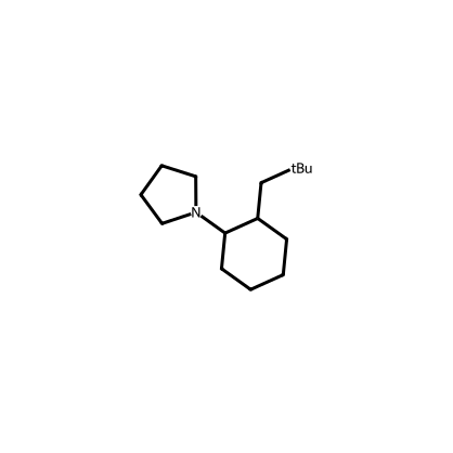 CC(C)(C)CC1CCCCC1N1CCCC1